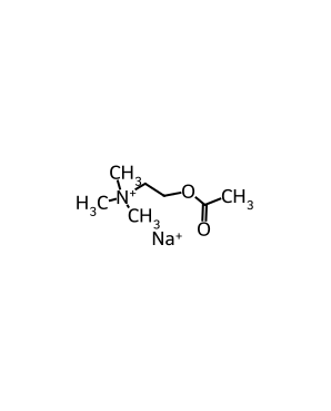 CC(=O)OCC[N+](C)(C)C.[Na+]